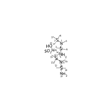 CN([Si](C)(C)C)[Si](C)(C)N.CN([Si](C)(C)C)[Si](C)(C)N.O=S(=O)(O)O